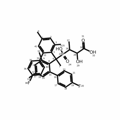 Cc1cc(C)c(C(C)(c2c(C)cc(C)cc2-c2ccc(F)cc2)P(=O)(O)C(C)C(O)C(=O)O)c(-c2ccc(F)cc2)c1